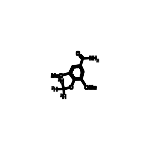 [2H]C([2H])([2H])Oc1c(OC)cc(C(N)=O)cc1OC